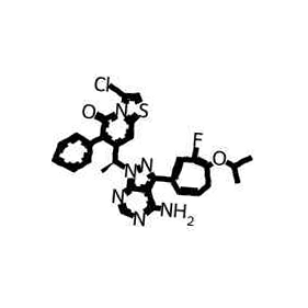 CC(C)OC1=C(F)C=C(c2nn([C@@H](C)c3cc4scc(Cl)n4c(=O)c3-c3ccccc3)c3ncnc(N)c23)C=CC1